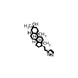 C[C@@]1(O)CC[C@@]2(C)[C@@H](CC[C@@H]3[C@@H]2CC[C@]2(C)[C@@H](CCn4ccnn4)CC[C@@H]32)C1